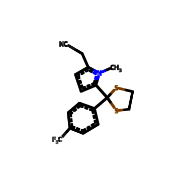 Cn1c(CC#N)ccc1C1(c2ccc(C(F)(F)F)cc2)SCCS1